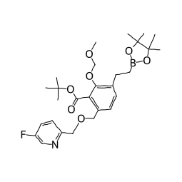 COCOc1c(CCB2OC(C)(C)C(C)(C)O2)ccc(COCc2ccc(F)cn2)c1C(=O)OC(C)(C)C